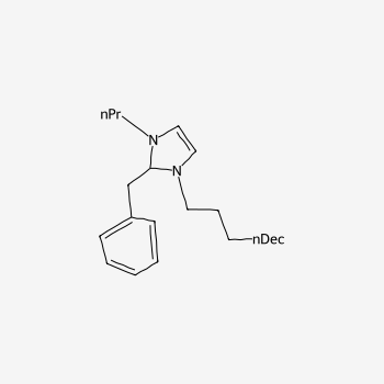 CCCCCCCCCCCCCN1C=CN(CCC)C1Cc1ccccc1